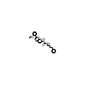 CCOc1ccccc1-c1cnc2ccc(NC(=O)NCCCCc3ccccc3)nc2n1